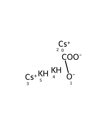 O=C([O-])[O-].[Cs+].[Cs+].[KH].[KH]